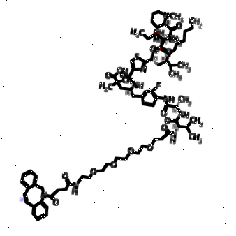 CCCCCCN(C(=O)[C@@H](NC(=O)[C@H]1CCCCN1C)[C@@H](C)CC)[C@H](C[C@@H](OC(=O)NC)c1nc(C(=O)N[C@@H](Cc2ccc(NC(=O)[C@H](C)NC(=O)[C@@H](NC(=O)CCOCCOCCOCCOCCNC(=O)CCC(=O)N3Cc4ccccc4/C=C\c4ccccc43)C(C)C)c(F)c2)CC(C)(C)C(=O)O)cs1)C(C)C